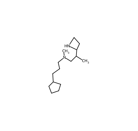 CC(CN(C)CCCC1CCCC1)C1CCN1